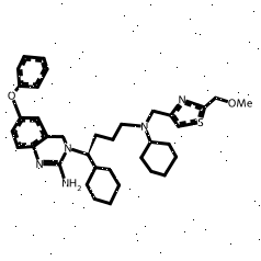 COCc1nc(CN(CCC[C@@H](C2CCCCC2)N2Cc3cc(Oc4ccccc4)ccc3N=C2N)C2CCCCC2)cs1